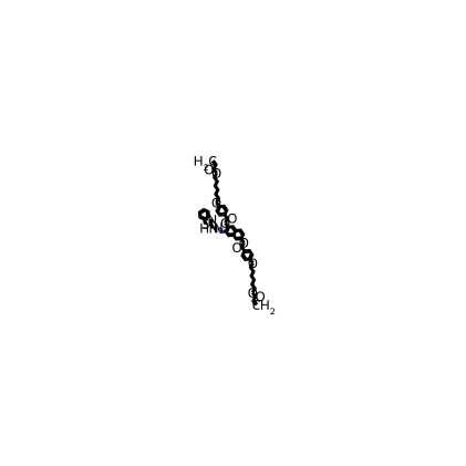 C=CC(=O)OCCCCCCOc1ccc(C(=O)Oc2ccc3cc(OC(=O)c4ccc(OCCCCCCOC(=O)C=C)cc4)c(/C=N/Nc4nc5ccccc5s4)cc3c2)cc1